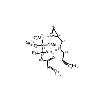 C=CC(=O)OC(C)(CC)[Si](OC)(OC)OC.C=CCOCC1CO1